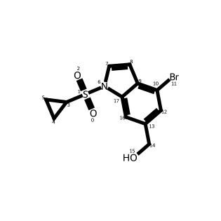 O=S(=O)(C1CC1)n1ccc2c(Br)cc(CO)cc21